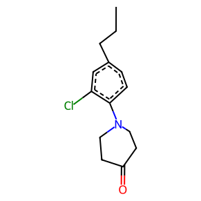 CCCc1ccc(N2CCC(=O)CC2)c(Cl)c1